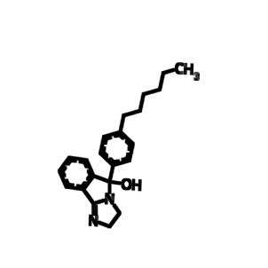 CCCCCCc1ccc(C2(O)c3ccccc3C3=NCCN32)cc1